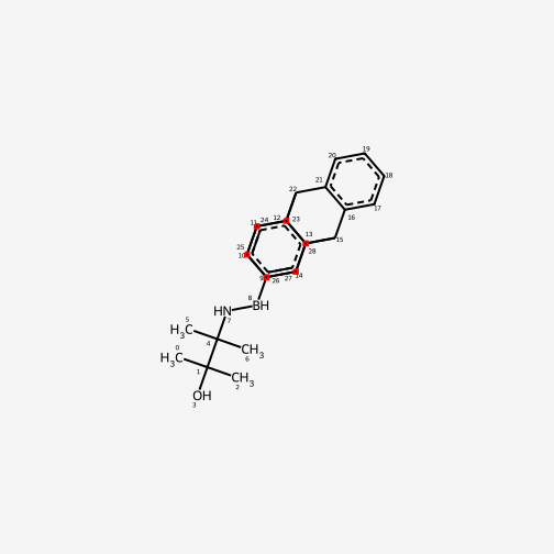 CC(C)(O)C(C)(C)NBc1ccc2c(c1)C1c3ccccc3C2C2C=CC=CC12